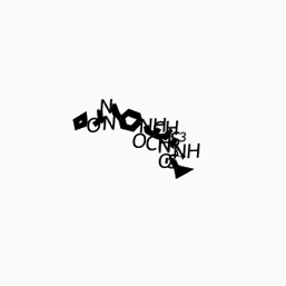 CC(C)(C(=O)Nc1ccc(-c2cncc(OC3CCC3)n2)cc1)c1csc(N[S+]([O-])C2CC2)n1